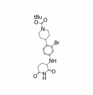 CC(C)(C)OC(=O)N1CCC(c2ccc(NC3CCC(=O)NC3=O)cc2Br)CC1